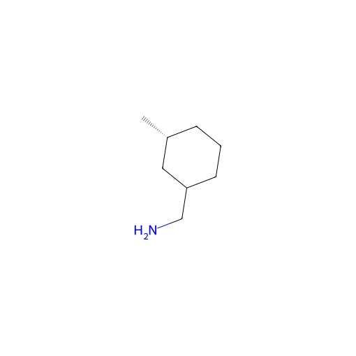 C[C@@H]1CCCC(CN)C1